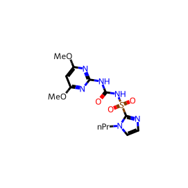 CCCn1ccnc1S(=O)(=O)NC(=O)Nc1nc(OC)cc(OC)n1